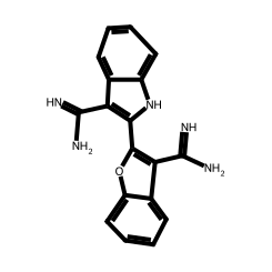 N=C(N)c1c(-c2oc3ccccc3c2C(=N)N)[nH]c2ccccc12